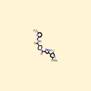 COc1cc(-c2cc(C(=O)N3CCC(C(=O)NCc4cccc(C(F)(F)F)n4)CC3)n[nH]2)c(Cl)cn1